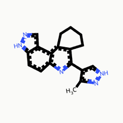 Cc1n[nH]cc1-c1nc2ccc3[nH]ncc3c2c2c1CCCC2